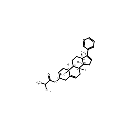 CC(N)C(=O)O[C@H]1CC[C@@]2(C)C(=CC[C@@H]3[C@@H]2CC[C@]2(C)C(c4cccnc4)=CC[C@@H]32)C1